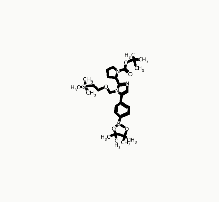 CC(C)(C)OC(=O)N1CCCC1c1ncc(-c2ccc(B3OC(C)(C)C(C)(C)O3)cc2)n1COCC[Si](C)(C)C